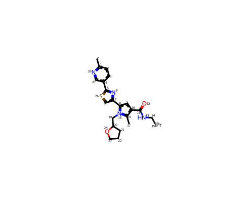 Cc1ccc(-c2nc(-c3cc(C(=O)NCC(C)C)c(C)n3CC3CCCO3)cs2)cn1